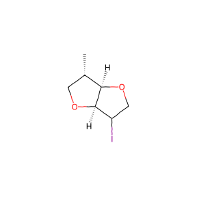 C[C@H]1CO[C@@H]2C(I)CO[C@@H]21